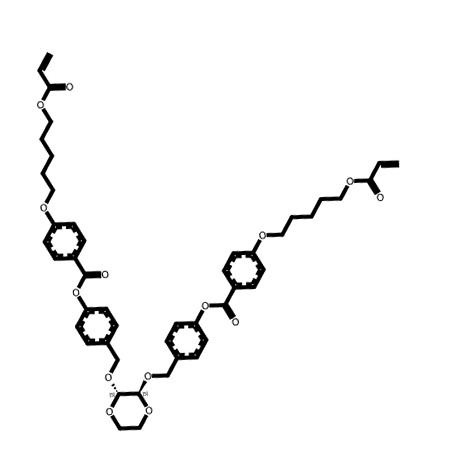 C=CC(=O)OCCCCCOc1ccc(C(=O)Oc2ccc(CO[C@H]3OCCO[C@@H]3OCc3ccc(OC(=O)c4ccc(OCCCCCOC(=O)C=C)cc4)cc3)cc2)cc1